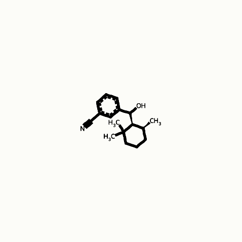 C[C@H]1CCCC(C)(C)[C@H]1C(O)c1cccc(C#N)c1